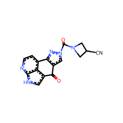 N#CC1CN(C(=O)n2cc3c(n2)-c2ccnc4[nH]cc(c24)C3=O)C1